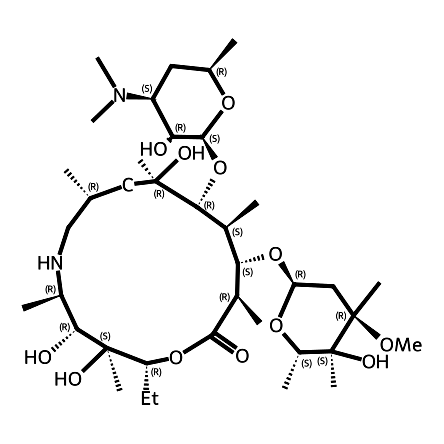 CC[C@H]1OC(=O)[C@H](C)[C@@H](O[C@H]2C[C@@](C)(OC)[C@@](C)(O)[C@H](C)O2)[C@H](C)[C@@H](O[C@@H]2O[C@H](C)C[C@H](N(C)C)[C@H]2O)[C@](C)(O)C[C@@H](C)CN[C@H](C)[C@@H](O)[C@]1(C)O